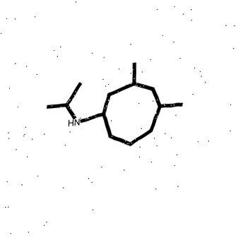 CC1CCCC(NC(C)C)CC(C)C1